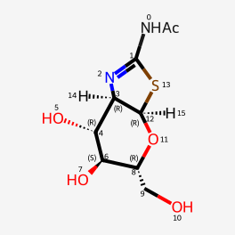 CC(=O)NC1=N[C@@H]2[C@@H](O)[C@H](O)[C@@H](CO)O[C@@H]2S1